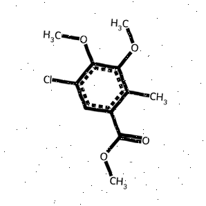 COC(=O)c1cc(Cl)c(OC)c(OC)c1C